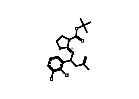 C=C(C)CC(/N=C1\SCCN1C(=O)OC(C)(C)C)c1cccc(Cl)c1Cl